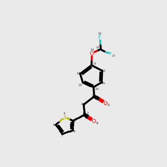 O=C(CC(=O)c1cccs1)c1ccc(OC(F)F)cc1